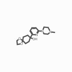 CN1CCN(c2cccc(C3(O)CCC4(CC3)OCCO4)n2)CC1